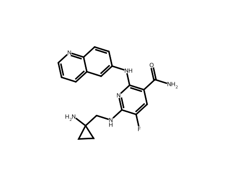 NC(=O)c1cc(F)c(NCC2(N)CC2)nc1Nc1ccc2ncccc2c1